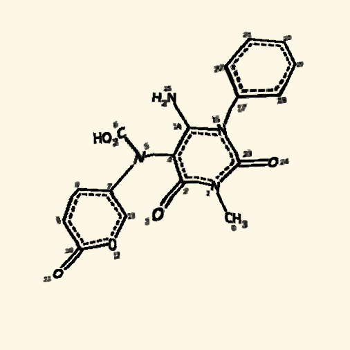 Cn1c(=O)c(N(C(=O)O)c2ccc(=O)oc2)c(N)n(-c2ccccc2)c1=O